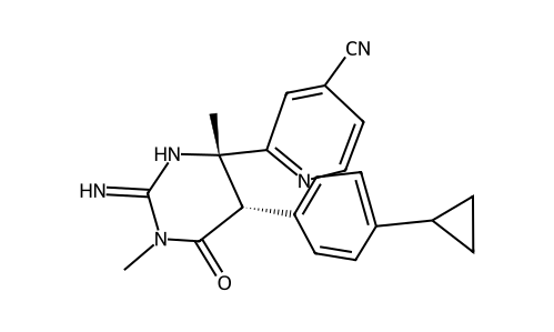 CN1C(=N)N[C@](C)(c2cc(C#N)ccn2)[C@H](c2ccc(C3CC3)cc2)C1=O